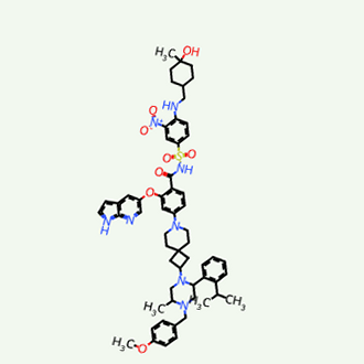 COc1ccc(CN2CC(c3ccccc3C(C)C)N(C3CC4(CCN(c5ccc(C(=O)NS(=O)(=O)c6ccc(NCC7CCC(C)(O)CC7)c([N+](=O)[O-])c6)c(Oc6cnc7[nH]ccc7c6)c5)CC4)C3)CC2C)cc1